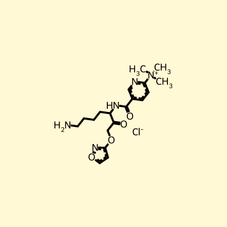 C[N+](C)(C)c1ccc(C(=O)NC(CCCCN)C(=O)COc2ccon2)cn1.[Cl-]